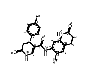 O=C1C[C@@H](c2ccc(F)cc2)C(C(=O)Nc2cc3c(cc2Br)CCC(=O)N3)=CN1